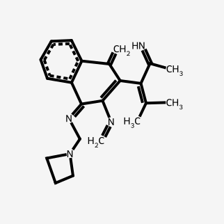 C=NC1=C(C(C(C)=N)=C(C)C)C(=C)c2ccccc2/C1=N/CN1CCC1